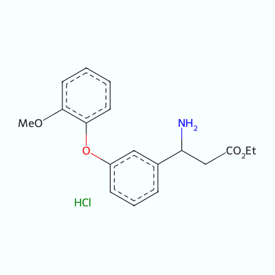 CCOC(=O)CC(N)c1cccc(Oc2ccccc2OC)c1.Cl